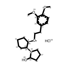 COc1ccc(CCO[C@@H]2CCCC[C@@H]2N2CCCC2O)cc1OC.Cl